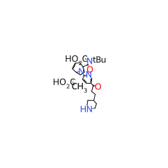 CC(=O)O.CC(C)(C)N(C(=O)O)C(=O)C12CC=CC(CC1)N2c1ccc(C(=O)CCC2CCNCC2)cn1